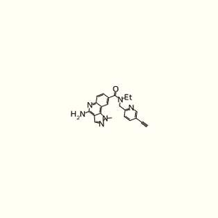 C#Cc1ccc(CN(CC)C(=O)c2ccc3nc(N)c4cnn(C)c4c3c2)nc1